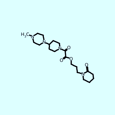 CN1CCN(C2CCN(C(=O)C(=O)OCCCN3CCCCC3=O)CC2)CC1